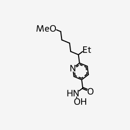 CCC(CCCCOC)c1ccc(C(=O)NO)cn1